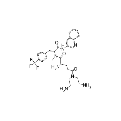 CN(C(=O)[C@@H](N)CCC(=O)N(CCN)CCN)[C@@H](Cc1ccc(C(F)(F)F)cc1)C(=O)Nc1cnc2ccccc2c1